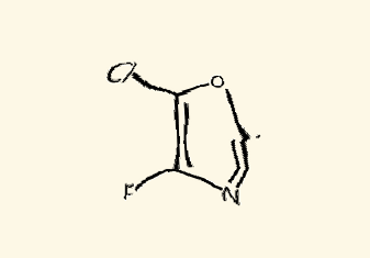 Fc1n[c]oc1Cl